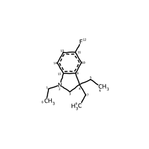 CCN1CC(CC)(CC)c2cc(F)ccc21